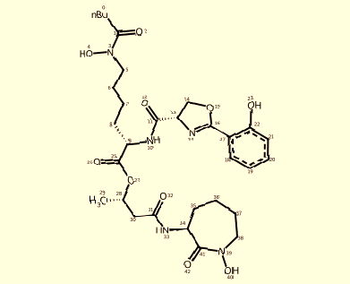 CCCCC(=O)N(O)CCCC[C@H](NC(=O)[C@@H]1COC(c2ccccc2O)=N1)C(=O)O[C@@H](C)CC(=O)N[C@H]1CCCCN(O)C1=O